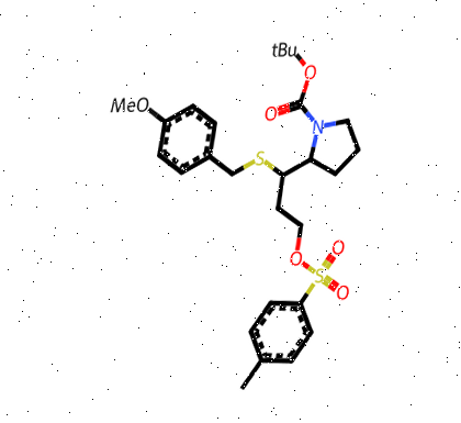 COc1ccc(CSC(CCOS(=O)(=O)c2ccc(C)cc2)C2CCCN2C(=O)OC(C)(C)C)cc1